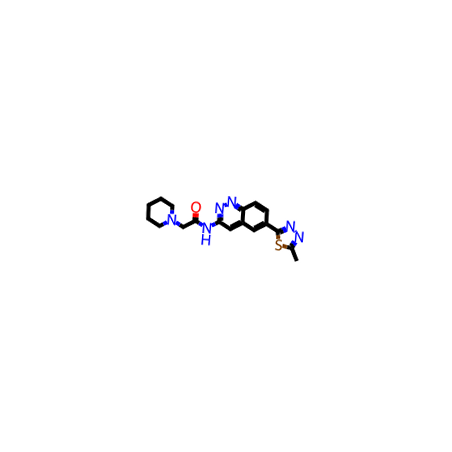 Cc1nnc(-c2ccc3nnc(NC(=O)CN4CCCCC4)cc3c2)s1